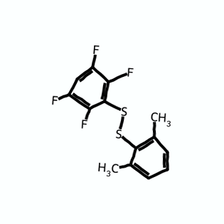 Cc1cccc(C)c1SSc1c(F)c(F)cc(F)c1F